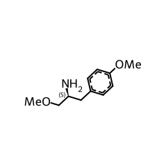 COC[C@@H](N)Cc1ccc(OC)cc1